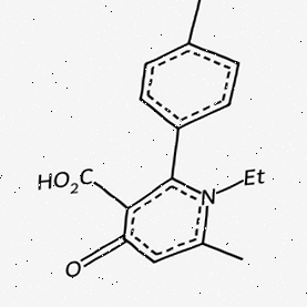 CCn1c(C)cc(=O)c(C(=O)O)c1-c1ccc(C)cc1